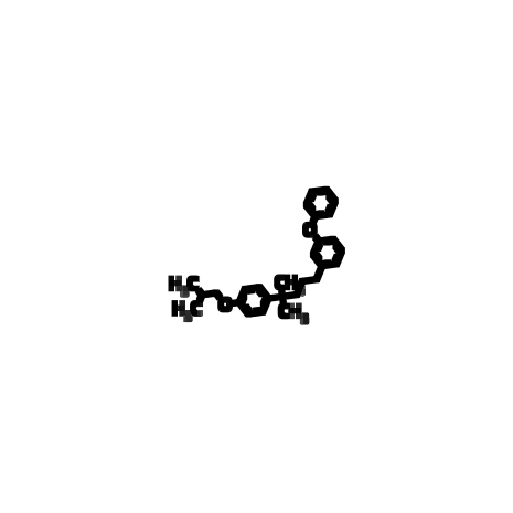 CC(C)COc1ccc(C(C)(C)CCCc2cccc(Oc3ccccc3)c2)cc1